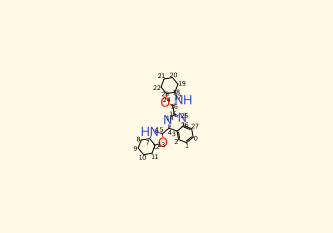 c1ccc2c(C3NC4CCCCC4O3)nc(C3NC4CCCCC4O3)nc2c1